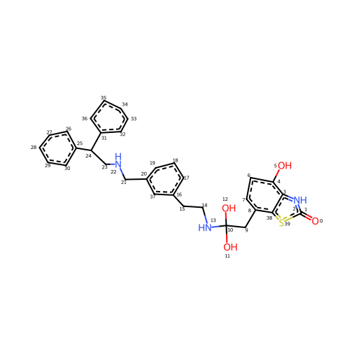 O=c1[nH]c2c(O)ccc(CC(O)(O)NCCc3cccc(CNCC(c4ccccc4)c4ccccc4)c3)c2s1